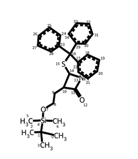 CC(C)(C)[Si](C)(C)OCCC1C(=O)NC1SC(c1ccccc1)(c1ccccc1)c1ccccc1